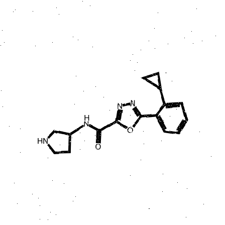 O=C(NC1CCNC1)c1nnc(-c2ccccc2C2CC2)o1